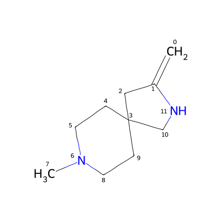 C=C1CC2(CCN(C)CC2)CN1